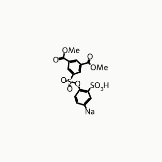 COC(=O)c1cc(C(=O)OC)cc(S(=O)(=O)Oc2cc[c]([Na])cc2S(=O)(=O)O)c1